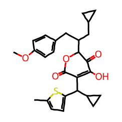 COc1ccc(CC(CC2CC2)C2OC(=O)C(C(c3ccc(C)s3)C3CC3)=C(O)C2=O)cc1